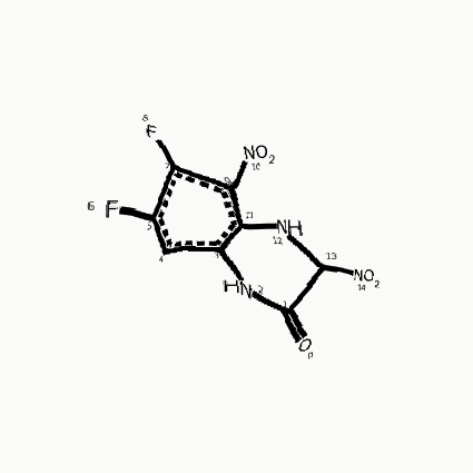 O=C1Nc2cc(F)c(F)c([N+](=O)[O-])c2NC1[N+](=O)[O-]